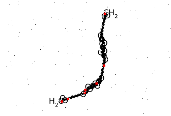 C=CC(=O)OCCCCCCCCCCCOC1CCC(C(=O)Oc2ccc(OC(=O)c3ccc(OCCCCCCCCCCCOc4ccc(C(=O)Oc5ccc(OC(=O)C6CCC(OCCCCCCCCCCCOC(=O)C=C)CC6)cc5)cc4)cc3)cc2)CC1